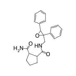 NC(=O)C1CCCC1C(=O)NCC1(c2ccccc2)OC1c1ccccc1